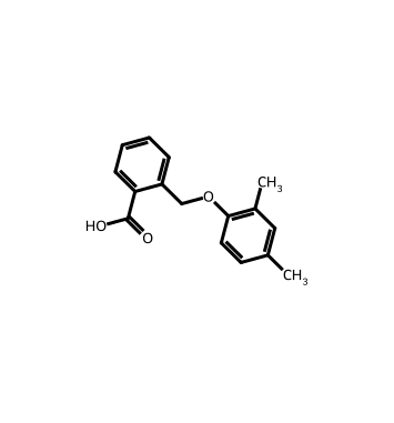 Cc1ccc(OCc2ccccc2C(=O)O)c(C)c1